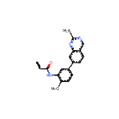 C=CC(=O)Nc1cc(-c2ccc3cnc(NC)nc3c2)ccc1OC